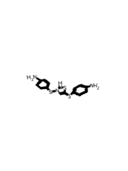 Nc1ccc(SC2=CN(Sc3ccc(N)cc3)NS2)cc1